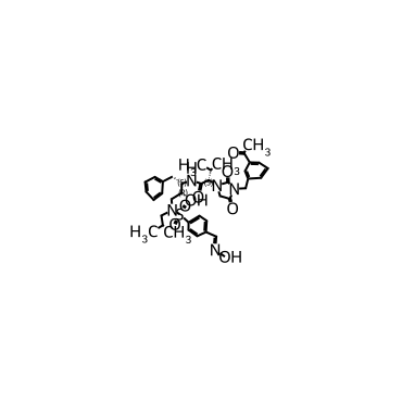 CC(=O)c1cccc(CN2C(=O)CN([C@H](C(=O)N[C@@H](Cc3ccccc3)[C@H](O)CN(CC(C)C)S(=O)(=O)c3ccc(C=NO)cc3)C(C)C)C2=O)c1